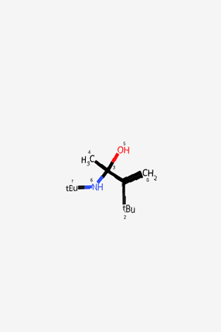 C=C(C(C)(C)C)C(C)(O)NC(C)(C)C